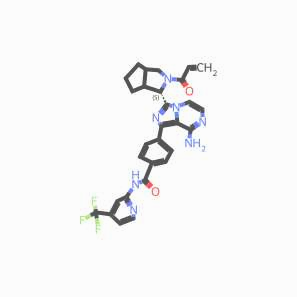 C=CC(=O)N1CC2CCCC2[C@H]1c1nc(-c2ccc(C(=O)Nc3cc(C(F)(F)F)ccn3)cc2)c2c(N)nccn12